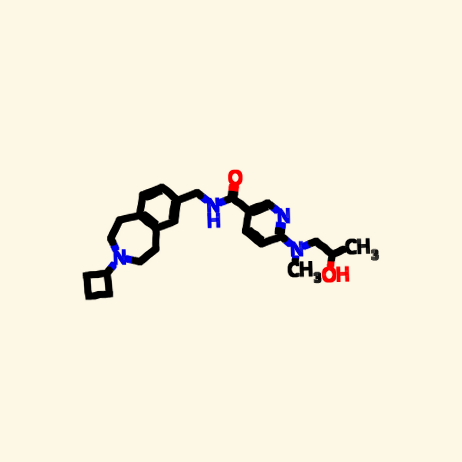 CC(O)CN(C)c1ccc(C(=O)NCc2ccc3c(c2)CCN(C2CCC2)CC3)cn1